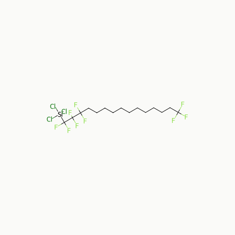 FC(F)(F)CCCCCCCCCCCC(F)(F)C(F)(F)C(F)(F)[Si](Cl)(Cl)Cl